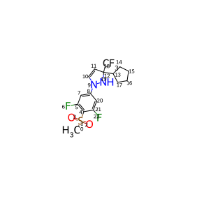 CS(=O)(=O)c1c(F)cc(N2C=CC(C3CCCC3)(C(F)(F)F)N2)cc1F